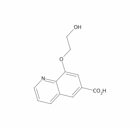 O=C(O)c1cc(OCCO)c2ncccc2c1